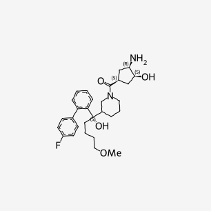 COCCCC[C@@](O)(c1ccccc1-c1ccc(F)cc1)C1CCCN(C(=O)[C@H]2C[C@@H](N)[C@@H](O)C2)C1